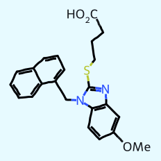 COc1ccc2c(c1)nc(SCCCC(=O)O)n2Cc1cccc2ccccc12